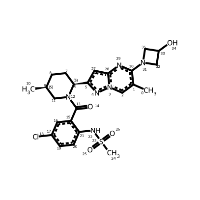 Cc1cn2nc([C@@H]3CC[C@H](C)CN3C(=O)c3cc(Cl)ccc3NS(C)(=O)=O)cc2nc1N1CC(O)C1